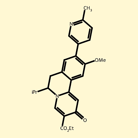 CCOC(=O)c1cn2c(cc1=O)-c1cc(OC)c(-c3ccc(C)nc3)cc1CC2C(C)C